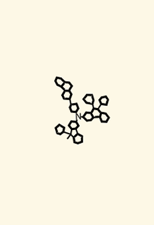 CC1(c2ccccc2)c2ccccc2-c2cc(N(c3ccc(-c4ccc5c(ccc6ccccc65)c4)cc3)c3ccc4c(c3)c(-c3ccccc3)c(-c3ccccc3)c3ccccc34)ccc21